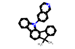 CC1(C)c2ccccc2-c2c1ccc1c3ccccc3n(-c3ccc4cnccc4c3)c21